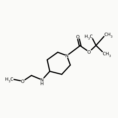 COCNC1CCN(C(=O)OC(C)(C)C)CC1